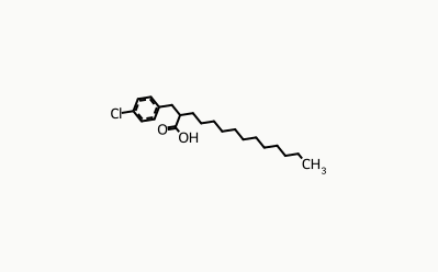 CCCCCCCCCCCCC(Cc1ccc(Cl)cc1)C(=O)O